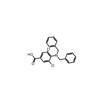 O=C(O)c1cc(Cl)c(N(Cc2ccccc2)Cc2ccccc2)c(Cl)c1